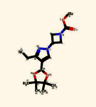 CC(C)(C)OC(=O)N1CC(n2cc(B3OC(C)(C)C(C)(C)O3)c(CC#N)n2)C1